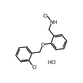 Cl.ClNCc1ccccc1OCc1ccccc1Cl